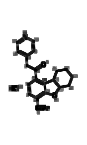 COc1ccc(C(=O)Cc2ccncc2)c2c1OC1CCCCC21.Cl